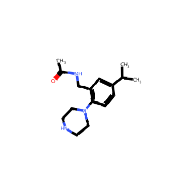 CC(=O)NCc1cc(C(C)C)ccc1N1CCNCC1